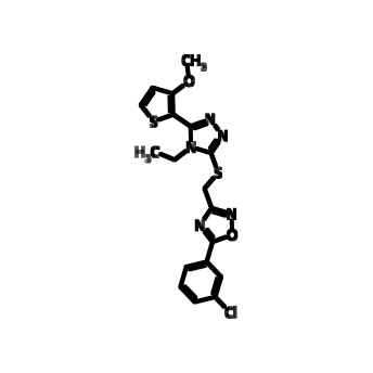 CCn1c(SCc2noc(-c3cccc(Cl)c3)n2)nnc1-c1sccc1OC